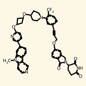 Cn1c2ccncc2c2ccc(-c3ccc(O[C@H]4C[C@H](OC5CCN(c6cc(C#CCOc7ccc8c(c7)CN(C7CCC(=O)NC7=O)C8=O)ccc6C(F)(F)F)CC5)C4)nc3)cc21